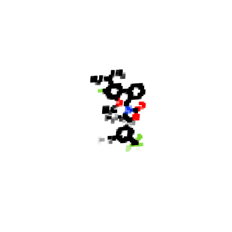 COc1cc(F)c(C(C)C)cc1C1=C(CN2C(=O)O[C@H](c3cc(C)cc(C(F)(F)F)c3)[C@@H]2C)CCCC1